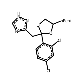 CCCCCC1COC(Cc2nc[nH]n2)(c2ccc(Cl)cc2Cl)O1